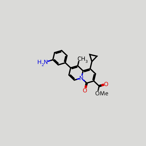 COC(=O)c1cc(C2CC2)c2c(C)c(-c3cccc(N)c3)ccn2c1=O